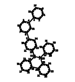 c1ccc(-c2cccc(-c3ccc(B4c5ccccc5-c5ccccc5N4c4ccccc4)cc3)c2)cc1